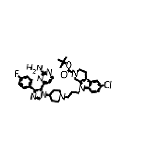 CC(C)(C)OC(=O)N1CCc2c(n(CCCN3CCC(n4cnc(-c5ccc(F)cc5)c4-c4ccnc(N)n4)CC3)c3ccc(Cl)cc23)C1